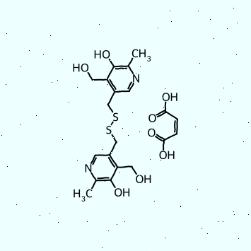 Cc1ncc(CSSCc2cnc(C)c(O)c2CO)c(CO)c1O.O=C(O)/C=C\C(=O)O